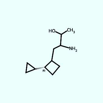 CC(O)C(N)CC1CC[C@@H]1C1CC1